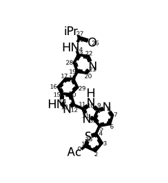 CC(=O)c1ccc(-c2ccnc3[nH]c(-c4n[nH]c5ccc(-c6cncc(NC(=O)C(C)C)c6)cc45)nc23)s1